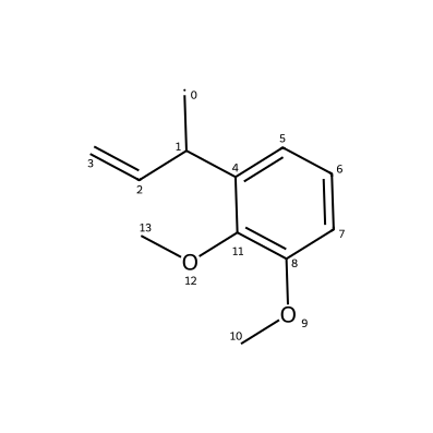 [CH2]C(C=C)c1cccc(OC)c1OC